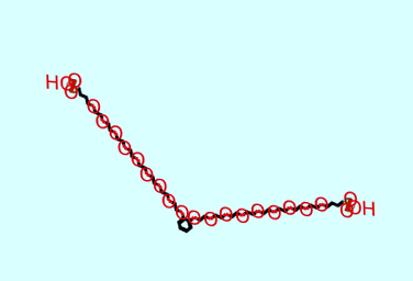 O=S(=O)(O)CCCCOCCOCCOCCOCCOCCOCCOCCOCCOc1ccccc1OCCOCCOCCOCCOCCOCCOCCOCCOCCCCS(=O)(=O)O